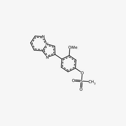 COc1cc(OS(C)(=O)=O)ccc1-c1cn2ncccc2n1